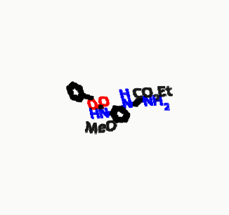 CCOC(=O)/C(N)=C\Nc1ccc(OC)c(NC(=O)OCc2ccccc2)c1